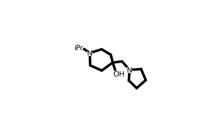 CC(C)N1CCC(O)(CN2CCCC2)CC1